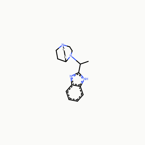 CC(c1nc2ccccc2[nH]1)N1CCN2CCC1CC2